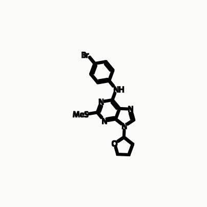 CSc1nc(Nc2ccc(Br)cc2)c2ncn(C3CCCO3)c2n1